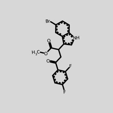 COC(=O)C(CC(=O)c1ccc(F)cc1F)c1c[nH]c2ccc(Br)cc12